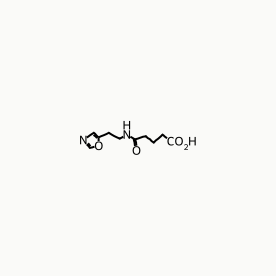 O=C(O)CCCC(=O)NCCc1cnco1